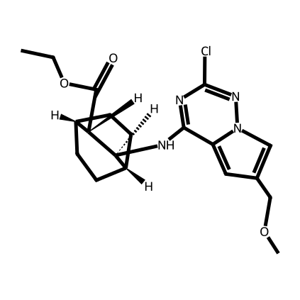 CCOC(=O)[C@H]1[C@H]2CC[C@H](CC2)[C@@H]1Nc1nc(Cl)nn2cc(COC)cc12